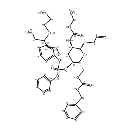 C=CCO[C@H]1O[C@H](COC(=O)OCc2ccccc2)[C@@H](OP(=O)(Oc2ccccc2)Oc2ccccc2)[C@H](OCC[C@@H](CCCCCCCCCCC)OCCCCCCCCCCCC)[C@H]1NC(=O)OCC(Cl)(Cl)Cl